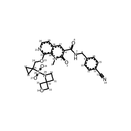 Cn1c(=O)c(C(=O)NCc2ccc(C#N)cc2)cc2ccnc(OCC3(S(=O)(=O)N4CCC45COC5)CC3)c21